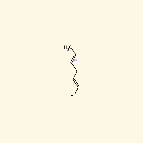 [CH2]/C=C/C/C=C/CC